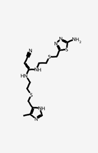 Cc1nc[nH]c1CSCCNC(=CC#N)NCCSCc1nnc(N)s1